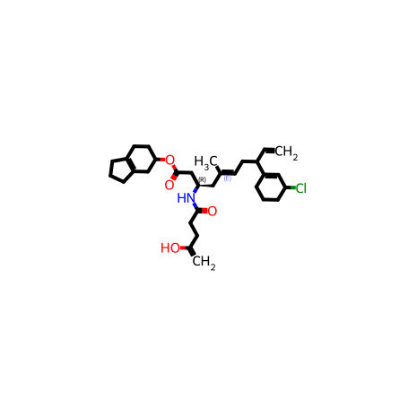 C=CC(C/C=C(\C)C[C@H](CC(=O)OC1CCC2=C(CCC2)C1)NC(=O)CCC(=C)O)C1=CC(Cl)CCC1